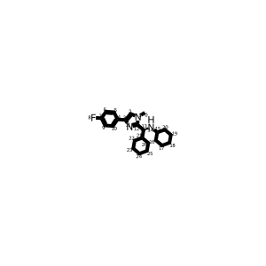 Cn1cc(-c2ccc(F)cc2)nc1[C@@H](NC1CCCCC1)C1CCCCC1